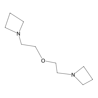 C1CN(CCOCCN2CCC2)C1